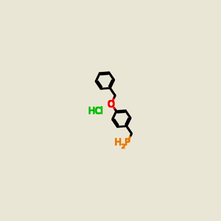 Cl.PCc1ccc(OCc2ccccc2)cc1